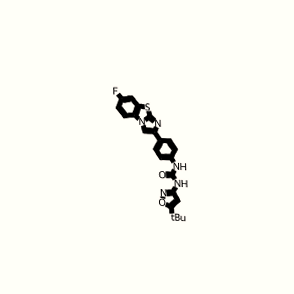 CC(C)(C)c1cc(NC(=O)Nc2ccc(-c3cn4c(n3)sc3cc(F)ccc34)cc2)no1